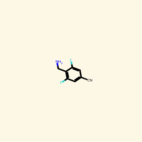 N#Cc1cc(F)c(CN)c(F)c1